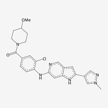 COC1CCN(C(=O)c2ccc(Nc3cc4[nH]c(-c5cnn(C)c5)cc4cn3)c(Cl)c2)CC1